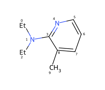 CCN(CC)c1ncccc1C